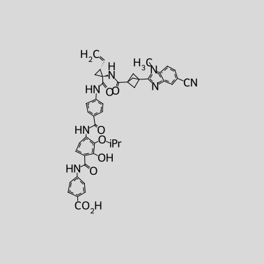 C=C[C@H]1C[C@@]1(NC(=O)C12CC(c3nc4cc(C#N)ccc4n3C)(C1)C2)C(=O)Nc1ccc(C(=O)Nc2ccc(C(=O)Nc3ccc(C(=O)O)cc3)c(O)c2OC(C)C)cc1